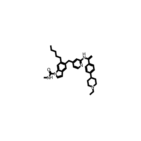 C=C(Nc1cc(Cc2cc3ccn(C(=O)NC)c3cc2CCCCC)ccn1)c1ccc(C2CCN(CC)CC2)cc1